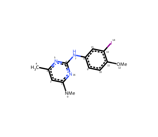 CNc1cc(C)nc(Nc2ccc(OC)c(I)c2)n1